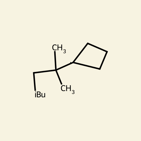 CCC(C)CC(C)(C)[C]1CCC1